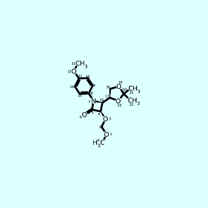 COCO[C@H]1C(=O)N(c2ccc(OC)cc2)[C@H]1[C@H]1COC(C)(C)O1